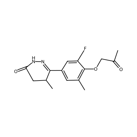 CC(=O)COc1c(C)cc(C2=NNC(=O)CC2C)cc1F